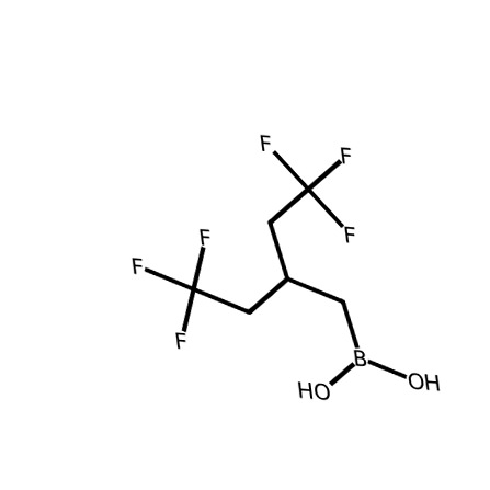 OB(O)CC(CC(F)(F)F)CC(F)(F)F